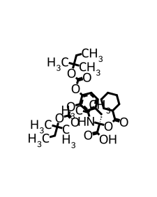 CCC(C)(C)OC(=O)Oc1ccc(C[C@](NC(C)C)(OC(=O)C2CCCCC2)C(=O)O)cc1OC(=O)OC(C)(C)CC